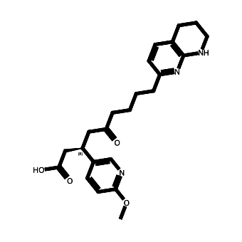 COc1ccc([C@@H](CC(=O)O)CC(=O)CCCCc2ccc3c(n2)NCCC3)cn1